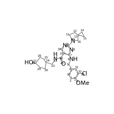 COc1ccc(CNc2nc(N3CCC4(CC4)C3)ncc2C(=O)NCC2CCC(O)CC2)cc1Cl